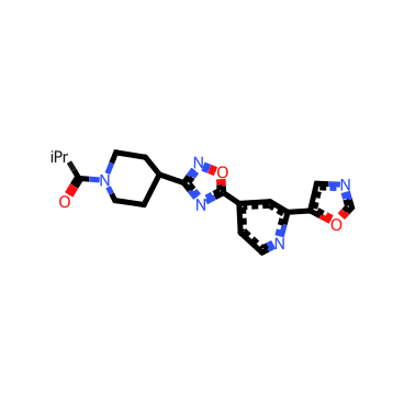 CC(C)C(=O)N1CCC(c2noc(-c3ccnc(-c4cnco4)c3)n2)CC1